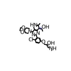 CNC[C@@H](O)COc1ccc(Cl)c(-c2nc(/C(C(C)=N)=C(\C)O)c(C)c(N3CCC4(CC3)OCCO4)n2)c1